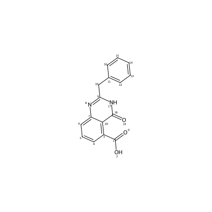 O=C(O)c1cccc2nc(Cc3ccccc3)[nH]c(=O)c12